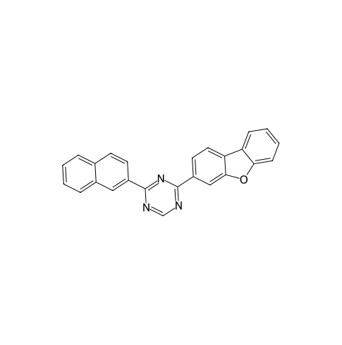 c1ccc2cc(-c3ncnc(-c4ccc5c(c4)oc4ccccc45)n3)ccc2c1